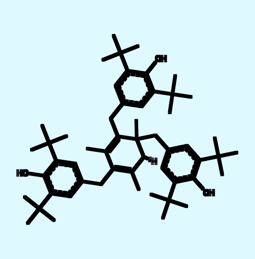 [2H]C1C(C)=C(Cc2cc(C(C)(C)C)c(O)c(C(C)(C)C)c2)C(C)=C(Cc2cc(C(C)(C)C)c(O)c(C(C)(C)C)c2)C1(C)Cc1cc(C(C)(C)C)c(O)c(C(C)(C)C)c1